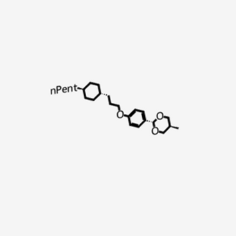 CCCCC[C@H]1CC[C@H](CCCOc2ccc([C@H]3OC[C@H](C)CO3)cc2)CC1